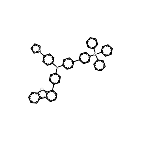 c1ccc([Si](c2ccccc2)(c2ccccc2)c2ccc(-c3ccc(N(c4ccc(-c5cccc6c5oc5ccccc56)cc4)c4ccc(-n5cccc5)cc4)cc3)cc2)cc1